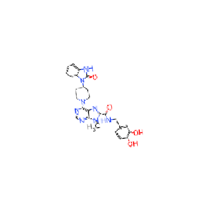 Cn1c(C(=O)NCc2ccc(O)c(O)c2)nc2c(N3CCC(n4c(=O)[nH]c5ccccc54)CC3)ncnc21